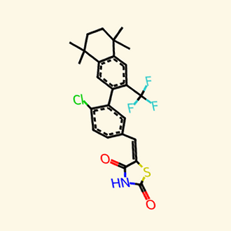 CC1(C)CCC(C)(C)c2cc(C(F)(F)F)c(-c3cc(/C=C4/SC(=O)NC4=O)ccc3Cl)cc21